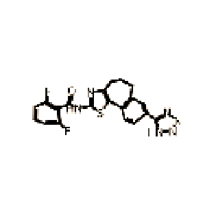 O=C(Nc1nc2c(s1)-c1ccc(-c3nnn[nH]3)cc1CCC2)c1c(F)cccc1F